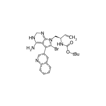 C=C[C@H](Cn1c(Br)c(-c2cnc3ccccc3c2)c2c1=NCNC=2N)NC(=O)OC(C)(C)C